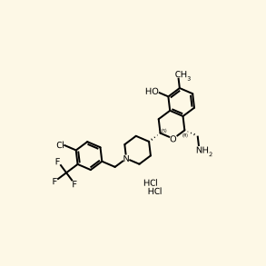 Cc1ccc2c(c1O)C[C@@H](C1CCN(Cc3ccc(Cl)c(C(F)(F)F)c3)CC1)O[C@H]2CN.Cl.Cl